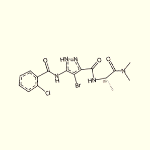 C[C@H](NC(=O)c1n[nH]c(NC(=O)c2ccccc2Cl)c1Br)C(=O)N(C)C